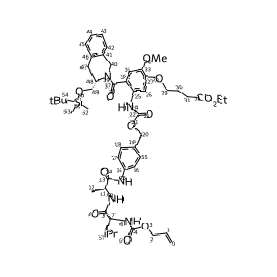 C=CCOC(=O)N[C@H](C(=O)N[C@@H](C)C(=O)Nc1ccc(COC(=O)Nc2cc(OCCCC(=O)OCC)c(OC)cc2C(=O)N2Cc3ccccc3C[C@H]2CO[Si](C)(C)C(C)(C)C)cc1)C(C)C